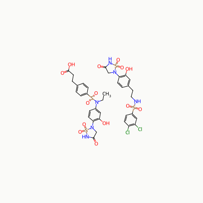 CCN(c1ccc(N2CC(=O)NS2(=O)=O)c(O)c1)S(=O)(=O)c1ccc(CCC(=O)O)cc1.O=C1CN(c2ccc(CCNS(=O)(=O)c3ccc(Cl)c(Cl)c3)cc2O)S(=O)(=O)N1